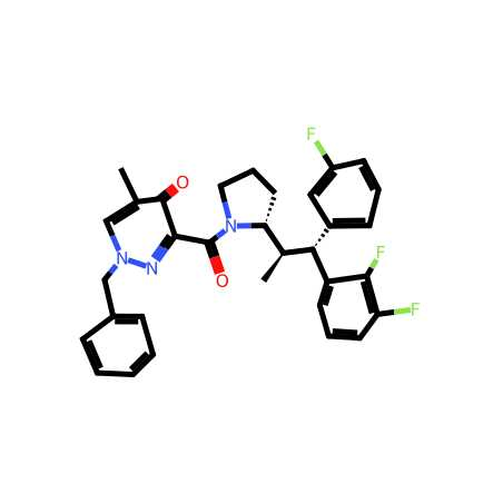 Cc1cn(Cc2ccccc2)nc(C(=O)N2CCC[C@@H]2[C@H](C)[C@H](c2cccc(F)c2)c2cccc(F)c2F)c1=O